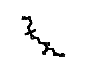 CCCOCC(=O)NCCOC(C)(C)CCOC